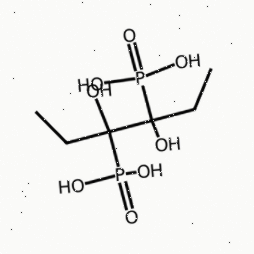 CCC(O)(C(O)(CC)P(=O)(O)O)P(=O)(O)O